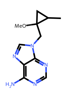 [CH2]OC1(Cn2cnc3c(N)ncnc32)CC1C